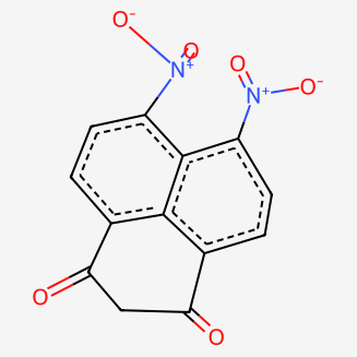 O=C1CC(=O)c2ccc([N+](=O)[O-])c3c([N+](=O)[O-])ccc1c23